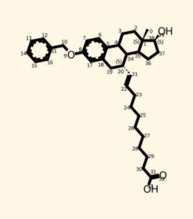 C[C@]12CCC3c4ccc(OCc5ccccc5)cc4C[C@@H](C=CCCCCCCCCC(=O)O)C3C1CC[C@@H]2O